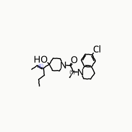 C/C=C(\CCC)C1(O)CCN(C(=O)[C@H](C)N2CCCc3cc(Cl)ccc32)CC1